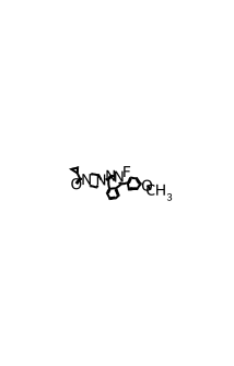 COc1ccc(-c2nnc(N3CCN(C(=O)C4CC4)CC3)c3ccccc23)c(F)c1